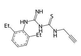 C#CCNC(=S)NC(=N)Nc1c(CC)cccc1CC